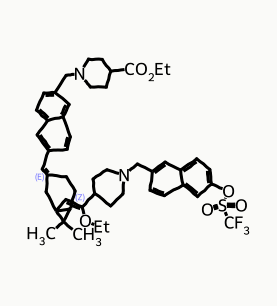 CCOC(=O)C1CCN(Cc2ccc3cc(/C=C4\CCC5C(C)(C)C5(/C=C(\OCC)C5CCN(Cc6ccc7cc(OS(=O)(=O)C(F)(F)F)ccc7c6)CC5)C4)ccc3c2)CC1